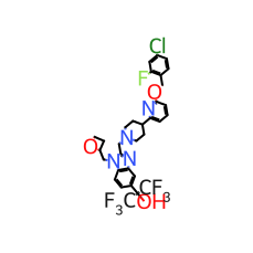 OC(c1ccc2c(c1)nc(CN1CCC(c3cccc(OCc4ccc(Cl)cc4F)n3)CC1)n2CC1CCO1)(C(F)(F)F)C(F)(F)F